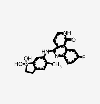 Cc1cc2c(cc1Nc1nc3ccc(F)cc3c3c(=O)[nH]ccc13)S(O)(O)CC2